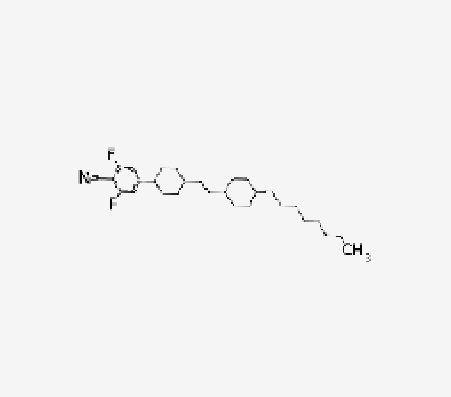 CCCCCCCCC1CCC(CCC2CCC(c3cc(F)c(C#N)c(F)c3)CC2)CC1